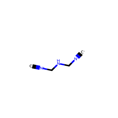 [C-]#[N+]CNC[N+]#[C-]